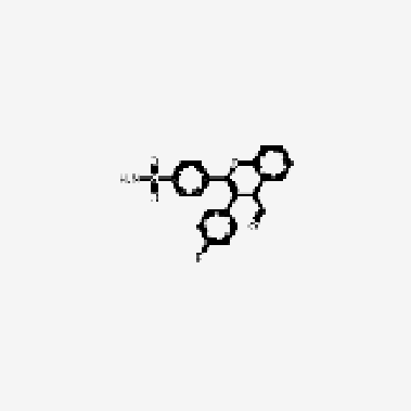 NS(=O)(=O)c1ccc(C2=C(c3ccc(F)cc3)C(C=O)c3ccccc3O2)cc1